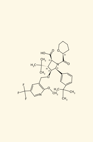 COc1ncc(C(F)(F)F)cc1CO[C@H]1[C@H](C(C)(C)C)[C@@H](C(=O)O)N(C(=O)[C@@H]2CCCCO2)[C@H]1c1cccc(C(C)(C)C)c1